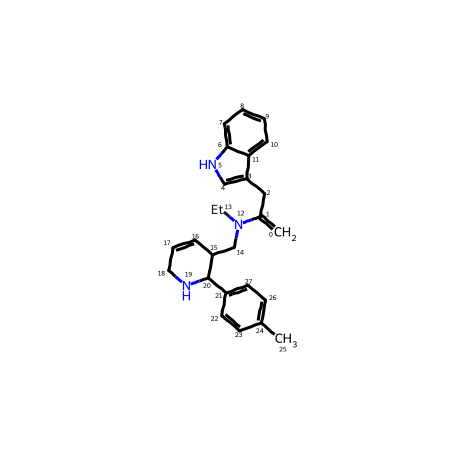 C=C(Cc1c[nH]c2ccccc12)N(CC)CC1C=CCNC1c1ccc(C)cc1